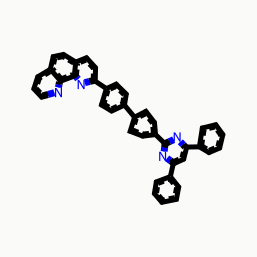 c1ccc(-c2cc(-c3ccccc3)nc(-c3ccc(-c4ccc(-c5ccc6ccc7cccnc7c6n5)cc4)cc3)n2)cc1